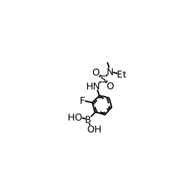 CCN(C)S(=O)(=O)Nc1cccc(B(O)O)c1F